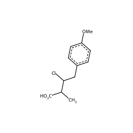 COc1ccc(CC(Cl)C(C)C(=O)O)cc1